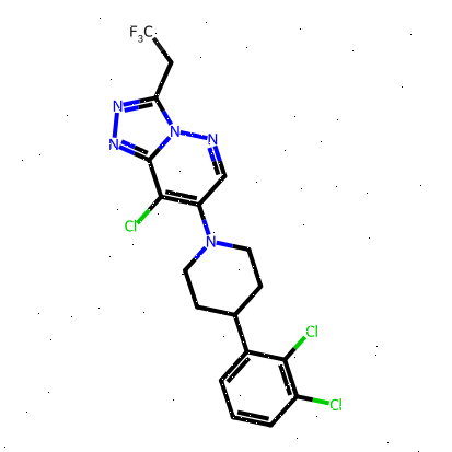 FC(F)(F)Cc1nnc2c(Cl)c(N3CCC(c4cccc(Cl)c4Cl)CC3)cnn12